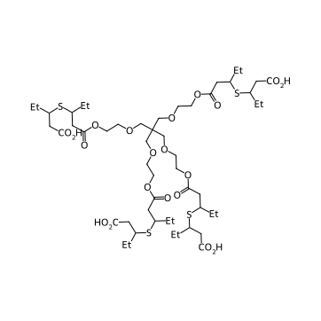 CCC(CC(=O)O)SC(CC)CC(=O)OCCOCC(COCCOC(=O)CC(CC)SC(CC)CC(=O)O)(COCCOC(=O)CC(CC)SC(CC)CC(=O)O)COCCOC(=O)CC(CC)SC(CC)CC(=O)O